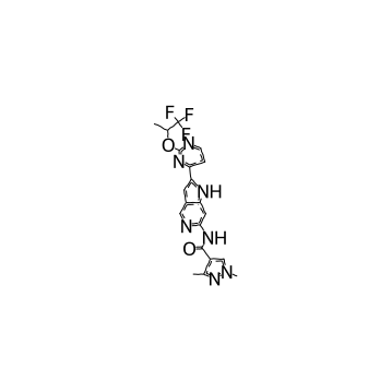 Cc1nn(C)cc1C(=O)Nc1cc2[nH]c(-c3ccnc(OC(C)C(F)(F)F)n3)cc2cn1